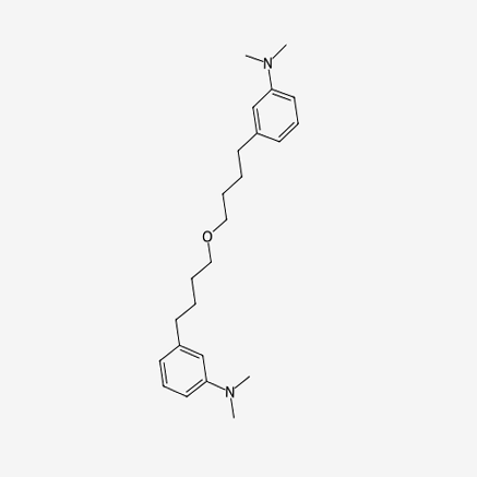 CN(C)c1cccc(CCCCOCCCCc2cccc(N(C)C)c2)c1